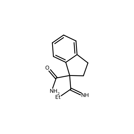 CCC(=N)C1(C(N)=O)CCc2ccccc21